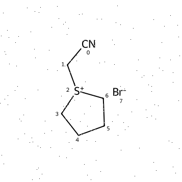 N#CC[S+]1CCCC1.[Br-]